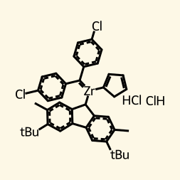 Cc1cc2c(cc1C(C)(C)C)-c1cc(C(C)(C)C)c(C)cc1[CH]2[Zr]([C]1=CC=CC1)=[C](c1ccc(Cl)cc1)c1ccc(Cl)cc1.Cl.Cl